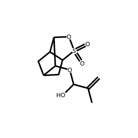 C=C(C)C(O)OC1C2CC3C1OS(=O)(=O)C3C2